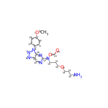 COc1ccc(-n2nnc3cnc(N(CCCOCCCN)OC=O)nc32)cc1